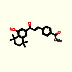 COC(=O)c1ccc(/C=C/C(=O)c2cc(O)c3c(c2)C(C)(C)CCC3(C)C)cc1